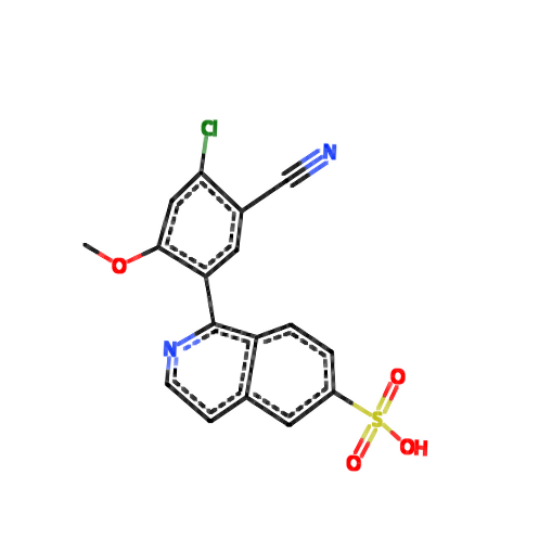 COc1cc(Cl)c(C#N)cc1-c1nccc2cc(S(=O)(=O)O)ccc12